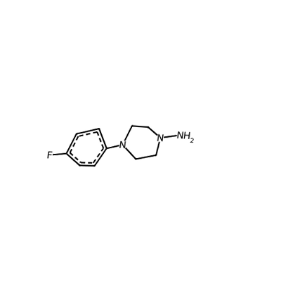 NN1CCN(c2ccc(F)cc2)CC1